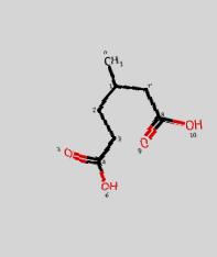 CC(CCC(=O)O)CC(=O)O